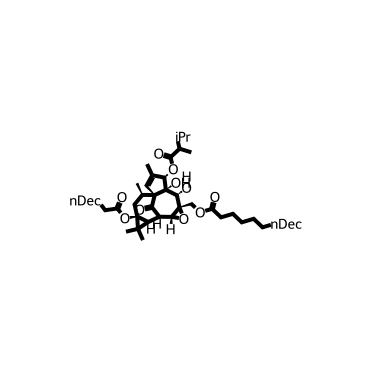 CCCCCCCCCCCCCCCC(=O)OC[C@@]12O[C@@H]1[C@@H]1C(=O)[C@]3(C=C(C)[C@H](OC(=O)C(C)C(C)C)[C@@]3(O)[C@@H]2O)[C@H](C)C[C@]2(OC(=O)CCCCCCCCCCC)[C@H]1C2(C)C